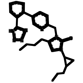 CCCCc1cn(C2CC2CCC)c(=O)n1Cc1ccc(-c2ccccc2-c2nnn[nH]2)cn1